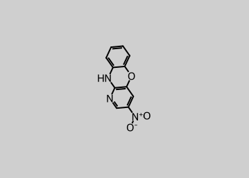 O=[N+]([O-])c1cnc2c(c1)Oc1ccccc1N2